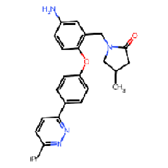 CC1CC(=O)N(Cc2cc(N)ccc2Oc2ccc(-c3ccc(C(C)C)nn3)cc2)C1